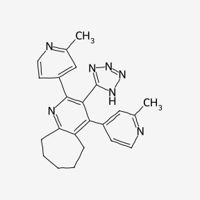 Cc1cc(-c2nc3c(c(-c4ccnc(C)c4)c2-c2nnn[nH]2)CCCCC3)ccn1